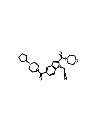 N#CCn1c(C(=O)N2CCOCC2)cc2cc(C(=O)N3CCN(C4CCCC4)CC3)ccc21